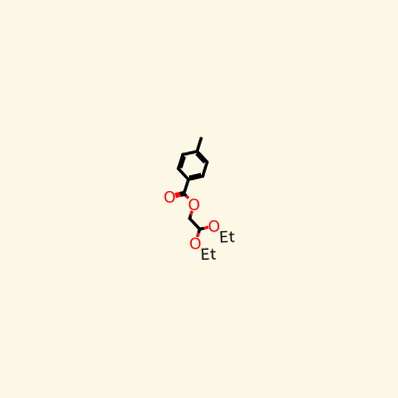 CCOC(COC(=O)c1ccc(C)cc1)OCC